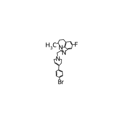 CC1CCc2cc(F)cc3nc(CN4CC=C(c5ccc(Br)cc5)CC4)n1c23